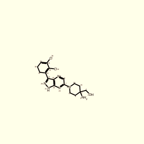 NC1(CO)CCN(c2cnc3c(C4=C(Cl)C(Cl)=CCC4)n[nH]c3n2)CC1